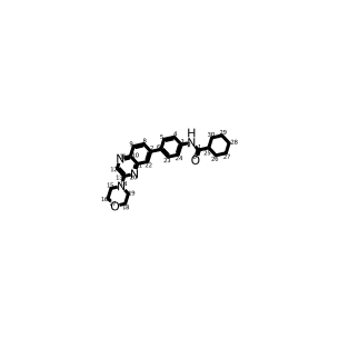 O=C(Nc1ccc(-c2ccc3ncc(N4CCOCC4)nc3c2)cc1)C1CCCCC1